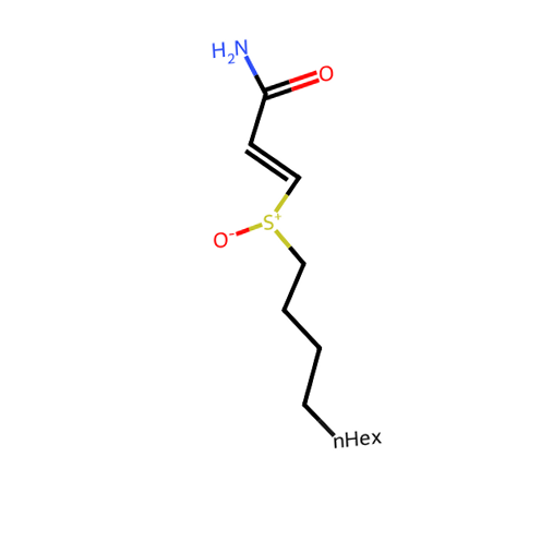 CCCCCCCCCC[S+]([O-])C=CC(N)=O